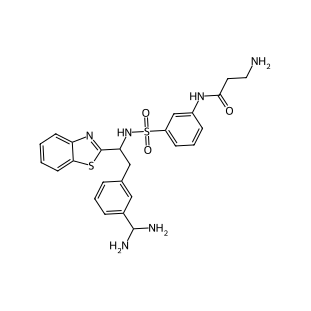 NCCC(=O)Nc1cccc(S(=O)(=O)NC(Cc2cccc(C(N)N)c2)c2nc3ccccc3s2)c1